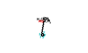 CC(C)[Si](O)(CCCCCCCCCCc1c(F)c(F)c(F)c(F)c1F)C(C)C